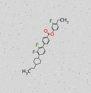 CCCC1CCC(c2ccc(-c3ccc(C(=O)Oc4ccc(CC)c(F)c4)cc3)c(F)c2F)CC1